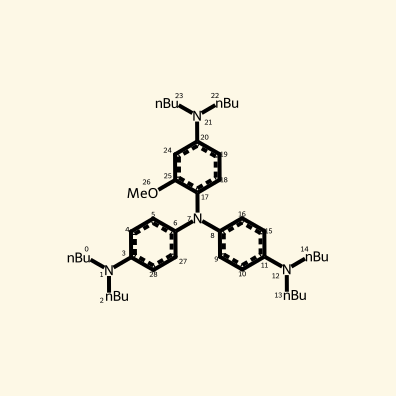 CCCCN(CCCC)c1ccc(N(c2ccc(N(CCCC)CCCC)cc2)c2ccc(N(CCCC)CCCC)cc2OC)cc1